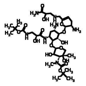 CN(C(=O)OC(C)(C)C)[C@@H]1[C@@H](O)[C@@H](O[C@@H]2[C@@H](O)[C@H](O[C@H]3OC(CNCC(O)C(N)=O)=CC[C@H]3N)[C@@H](N)C[C@H]2NC(=O)[C@@H](O)CNC(=O)OC(C)(C)C)OC[C@]1(C)O